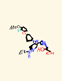 CCNc1cc2c(cn1)c(-c1cnn(C[C@@H](O)CO)c1)nn2[C@H]1CC[C@@H](Oc2cccc(OC)c2F)CC1